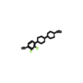 CCCCC1CCC(C2CCC(c3ccc(CCC)c(F)c3F)CC2)CC1